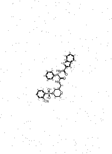 N#Cc1ccccc1S(=O)(=O)N1CCOC(CNC(=O)[C@@H](NC(=O)c2cc3ccccc3s2)c2ccccc2)C1